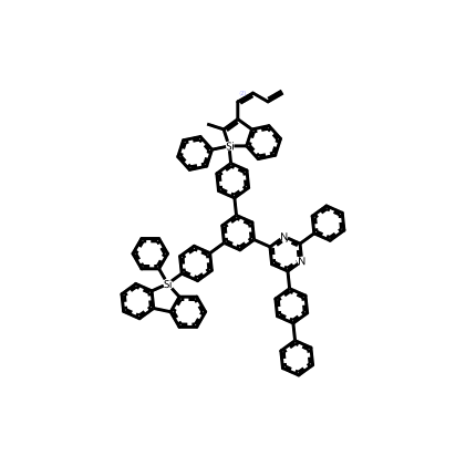 C=C/C=C\C1=C(C)[Si](c2ccccc2)(c2ccc(-c3cc(-c4ccc([Si]5(c6ccccc6)c6ccccc6-c6ccccc65)cc4)cc(-c4cc(-c5ccc(-c6ccccc6)cc5)nc(-c5ccccc5)n4)c3)cc2)c2ccccc21